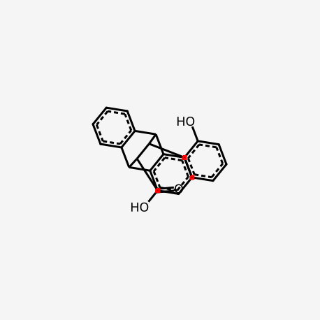 O=C(O)C1C2c3ccccc3C(c3ccccc32)C1c1ccccc1O